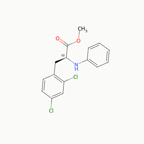 COC(=O)[C@H](Cc1ccc(Cl)cc1Cl)Nc1ccccc1